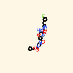 CN1C(=O)[C@@H](NC(=O)n2cc(Cc3cccc(F)c3)cn2)COc2ccc(C(=O)N3CCN(C(=O)OCc4ccccc4)CC3)cc21